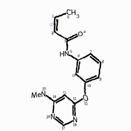 C/C=C\C(=O)Nc1cccc(Oc2cc(NC)ncn2)c1